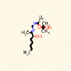 CCCCC[C@@H](O)/C(C)=N/C=N\C(C)OC(C)(C)O